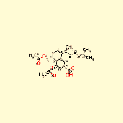 CC(=O)OC[C@@H]1CC[C@@H]([C@@H](C)CCC=C(C)C)c2cc(C(=O)O)cc(OC(C)=O)c21